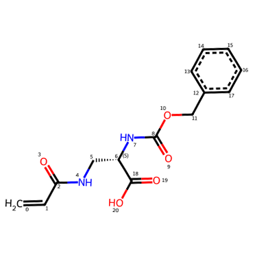 C=CC(=O)NC[C@H](NC(=O)OCc1ccccc1)C(=O)O